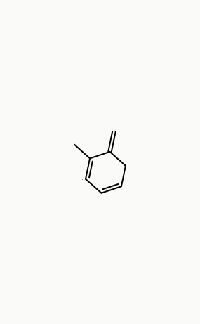 C=C1CC=C[C]=C1C